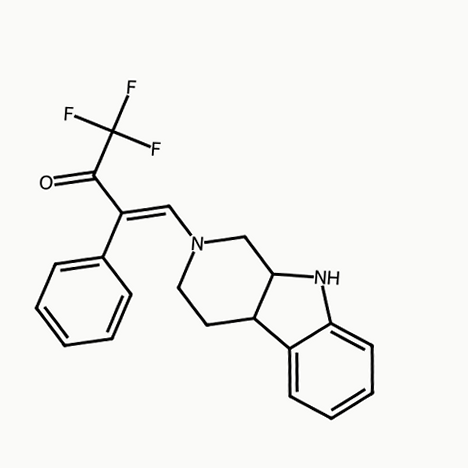 O=C(/C(=C/N1CCC2c3ccccc3NC2C1)c1ccccc1)C(F)(F)F